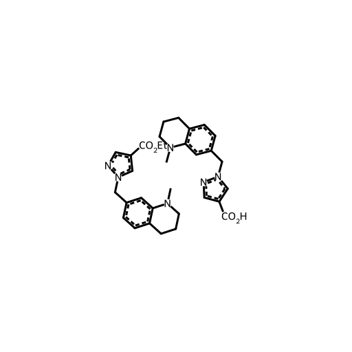 CCOC(=O)c1cnn(Cc2ccc3c(c2)N(C)CCC3)c1.CN1CCCc2ccc(Cn3cc(C(=O)O)cn3)cc21